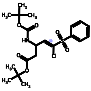 CC(C)(C)OC(=O)CC(/C=C(\Cl)S(=O)(=O)c1ccccc1)NC(=O)OC(C)(C)C